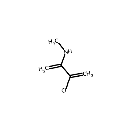 C=C(Cl)C(=C)NC